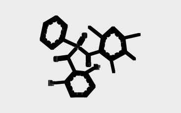 Cc1cc(C)c(C(=O)P(=O)(C(=O)c2c(Br)cccc2Br)c2ccccc2)c(C)c1C